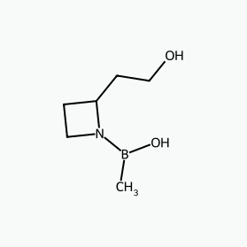 CB(O)N1CCC1CCO